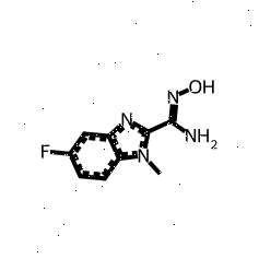 Cn1c(/C(N)=N/O)nc2cc(F)ccc21